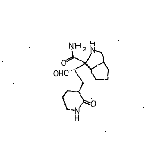 NC(=O)C1([C@@H](C=O)C[C@@H]2CCCNC2=O)NCC2CCCC21